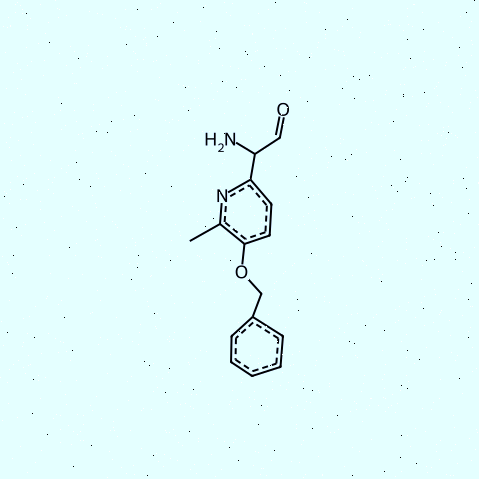 Cc1nc(C(N)C=O)ccc1OCc1ccccc1